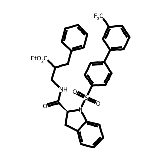 CCOC(=O)C(CNC(=O)[C@@H]1Cc2ccccc2N1S(=O)(=O)c1ccc(-c2cccc(C(F)(F)F)c2)cc1)Cc1ccccc1